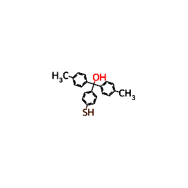 Cc1ccc(C(O)(c2ccc(C)cc2)c2ccc(S)cc2)cc1